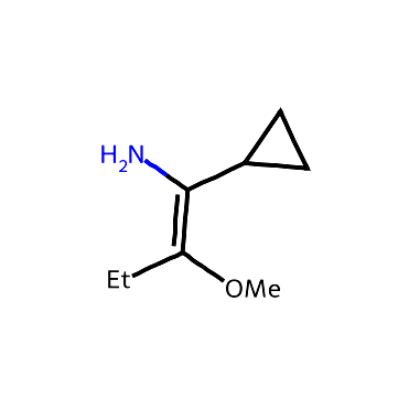 CC/C(OC)=C(\N)C1CC1